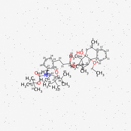 C=C1CC2(O)C(OCC)(c3ccccc31)C1CC(OC(=O)CCc3cccc(NC(=O)OC(C)(C)C)c3O[Si](C(C)C)(C(C)C)C(C)C)C2(C)C1(C)C